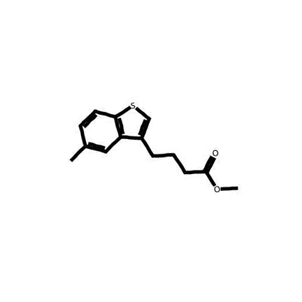 COC(=O)CCCc1csc2ccc(C)cc12